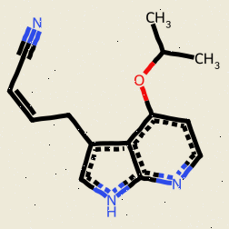 CC(C)Oc1ccnc2[nH]cc(C/C=C\C#N)c12